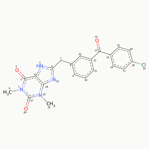 Cn1c(=O)c2[nH]c(Cc3cccc(C(=O)c4ccc(Cl)cc4)c3)nc2n(C)c1=O